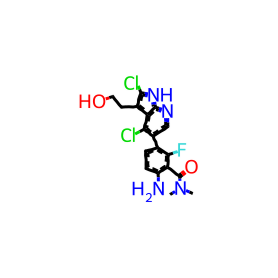 CN(C)C(=O)c1c(N)ccc(-c2cnc3[nH]c(Cl)c(CCO)c3c2Cl)c1F